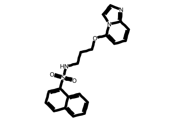 O=S(=O)(NCCCOc1cccc2nccn12)c1cccc2ccccc12